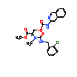 COC(=O)[C@@H](COC(=O)Nc1cc2ccccc2cn1)N(C)C(=O)NCc1ccccc1Cl